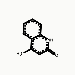 Cc1cc(=O)[nH]c2c[c]ccc12